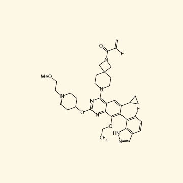 C=C(F)C(=O)N1CC2(CCN(c3nc(OC4CCN(CCOC)CC4)nc4c(OCC(F)(F)F)c(-c5c(F)ccc6cn[nH]c56)c(C5CC5)cc34)CC2)C1